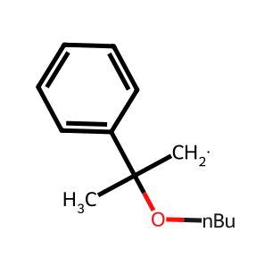 [CH2]C(C)(OCCCC)c1ccccc1